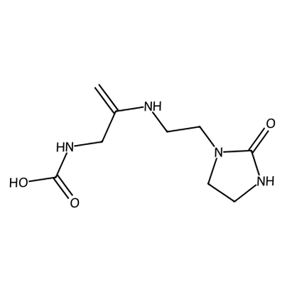 C=C(CNC(=O)O)NCCN1CCNC1=O